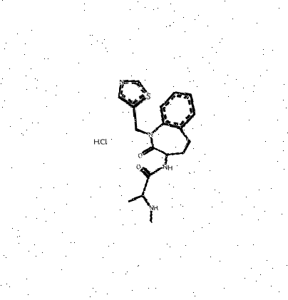 CNC(C)C(=O)NC1CCc2ccccc2N(Cc2cncs2)C1=O.Cl